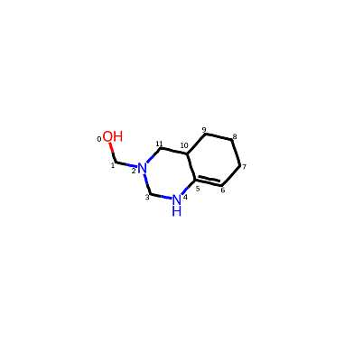 OCN1CNC2=CCCCC2C1